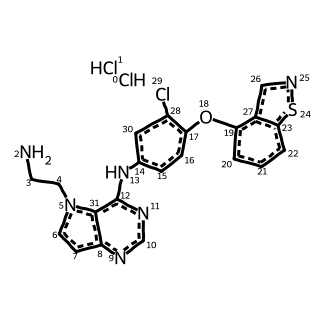 Cl.Cl.NCCn1ccc2ncnc(Nc3ccc(Oc4cccc5sncc45)c(Cl)c3)c21